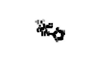 CS(=O)(=O)Nc1ncns1